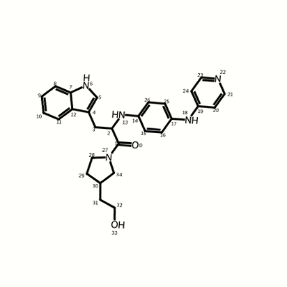 O=C(C(Cc1c[nH]c2ccccc12)Nc1ccc(Nc2ccncc2)cc1)N1CCC(CCO)C1